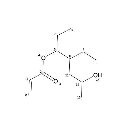 C=CC(=O)OC(CC)C(CC)CC(C)O